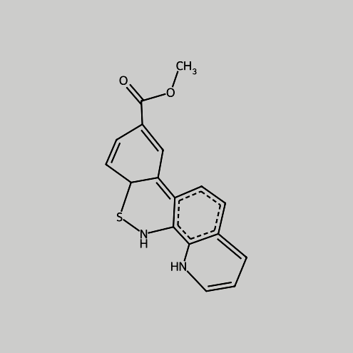 COC(=O)C1=CC2=c3ccc4c(c3NSC2C=C1)NC=CC=4